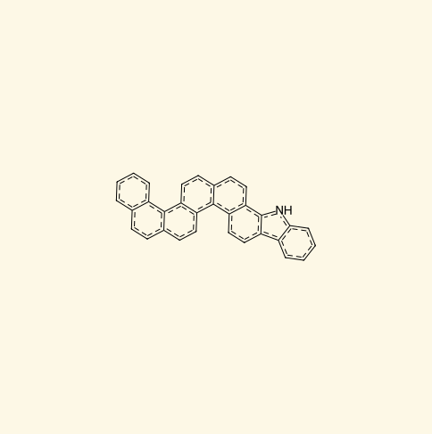 c1ccc2c(c1)ccc1ccc3c(ccc4ccc5c(ccc6c7ccccc7[nH]c65)c43)c12